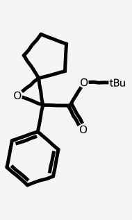 CC(C)(C)OC(=O)C1(c2ccccc2)OC12CCCC2